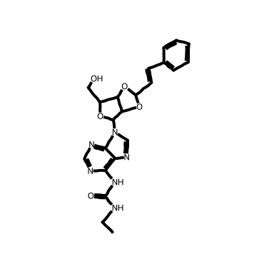 CCNC(=O)Nc1ncnc2c1ncn2C1OC(CO)C2OC(/C=C/c3ccccc3)OC21